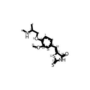 CNC(C)COc1ccc(/C=C2\SC(=S)NC2=O)cc1OC